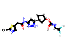 Cc1ncc(CC(=O)Nc2cc([C@H]3CC[C@@H](OC(=O)NCC(F)F)C3)[nH]n2)s1